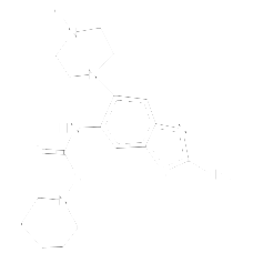 CN1CCN(c2cc3nc(C(C)(C)C)sc3cc2NC(=O)SN2CCCCC2)CC1